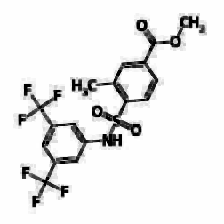 COC(=O)c1ccc(S(=O)(=O)Nc2cc(C(F)(F)F)cc(C(F)(F)F)c2)c(C)c1